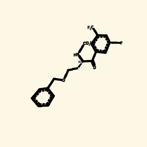 O=C(O)N[C@@H](CCOCc1ccccc1)C(=O)c1cc(F)cc(C(F)(F)F)c1